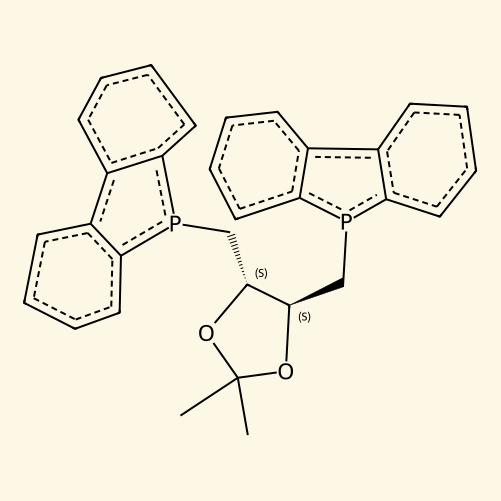 CC1(C)O[C@H](Cp2c3ccccc3c3ccccc32)[C@@H](Cp2c3ccccc3c3ccccc32)O1